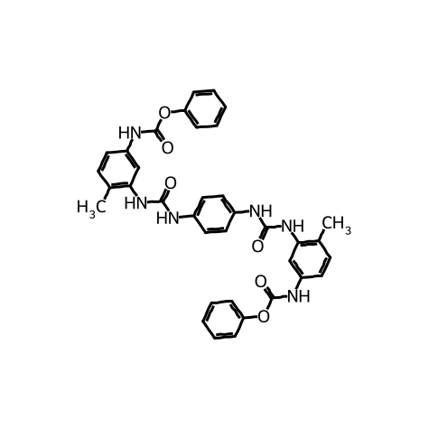 Cc1ccc(NC(=O)Oc2ccccc2)cc1NC(=O)Nc1ccc(NC(=O)Nc2cc(NC(=O)Oc3ccccc3)ccc2C)cc1